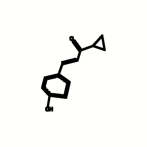 O=C(C=Cc1ccc(O)cc1)C1CC1